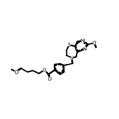 COCCCCOC(=O)c1ccc(CN2CCSc3cnc(OC)nc3C2)cc1